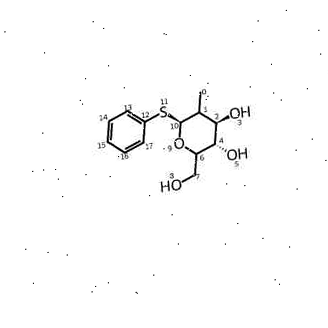 CC1[C@@H](O)[C@H](O)C(CO)O[C@H]1Sc1ccccc1